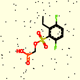 CCc1c(F)ccc(F)c1S(=O)(=O)OC[PH](=O)O